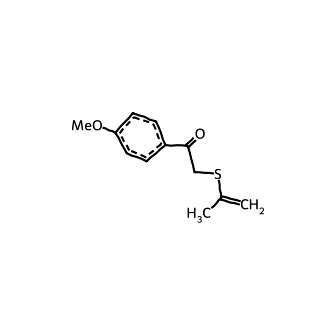 C=C(C)SCC(=O)c1ccc(OC)cc1